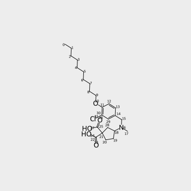 CCCCCCCCCCOc1ccc(CN(C)C2CCC(C(=O)O)(C(=O)O)C2)cc1Cl